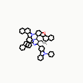 CCC1C(c2ccc3c(c2)c2ccccc2n3-c2ccccc2)=NC(c2ccc3ccccc3c2)=NC1c1c(-n2c3cc4ccccc4cc3c3c4ccccc4ccc32)ccc2oc3c4ccccc4ccc3c12